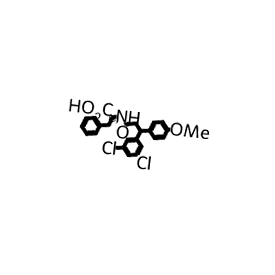 COc1ccc(C(CC(=O)N[C@@H](Cc2ccccc2)C(=O)O)c2cc(Cl)cc(Cl)c2)cc1